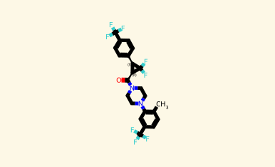 Cc1ccc(C(F)(F)F)cc1N1CCN(C(=O)[C@H]2[C@@H](c3ccc(C(F)(F)F)cc3)C2(F)F)CC1